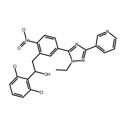 CCn1nc(-c2cccnc2)nc1-c1ccc([N+](=O)[O-])c(CC(O)c2c(Cl)cccc2Cl)c1